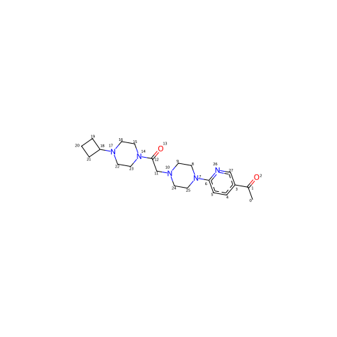 CC(=O)c1ccc(N2CCN(CC(=O)N3CCN(C4CCC4)CC3)CC2)nc1